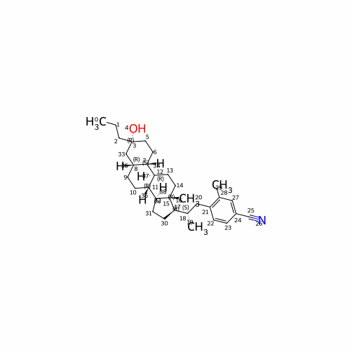 CCC[C@@]1(O)CC[C@H]2[C@H](CC[C@@H]3[C@@H]2CC[C@]2(C)[C@@H]([C@@H](C)Cc4ccc(C#N)cc4C)CC[C@@H]32)C1